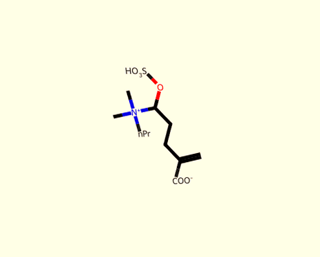 C=C(CCC(OS(=O)(=O)O)[N+](C)(C)CCC)C(=O)[O-]